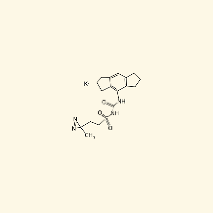 CC1(CCS(=O)(=O)NC(=O)Nc2c3c(cc4c2CCC4)CCC3)N=N1.[K]